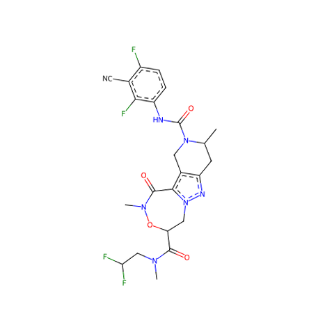 CC1Cc2nn3c(c2CN1C(=O)Nc1ccc(F)c(C#N)c1F)C(=O)N(C)OC(C(=O)N(C)CC(F)F)C3